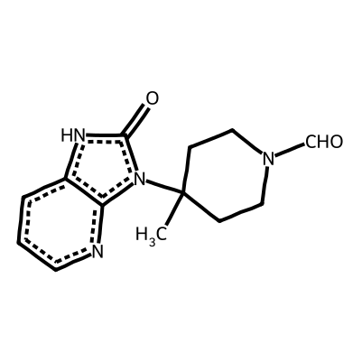 CC1(n2c(=O)[nH]c3cccnc32)CCN(C=O)CC1